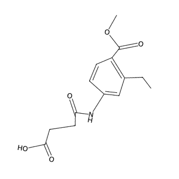 CCc1cc(NC(=O)CCC(=O)O)ccc1C(=O)OC